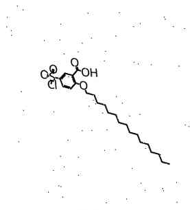 CCCCCCCCCCCCCCCCOc1ccc(S(=O)(=O)Cl)cc1C(=O)O